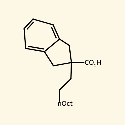 CCCCCCCCCCC1(C(=O)O)Cc2ccccc2C1